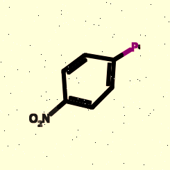 O=[N+]([O-])c1ccc([P])cc1